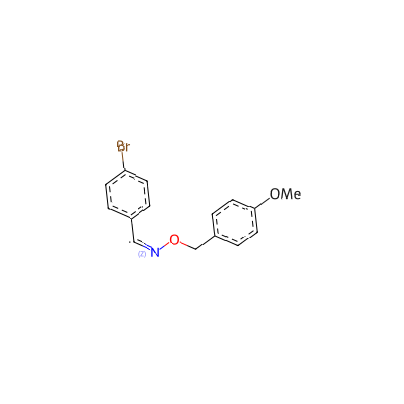 COc1ccc(CO/N=[C]\c2ccc(Br)cc2)cc1